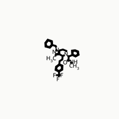 CNC(=O)C(c1ccccc1)N1CCc2c(c(C)nn2Cc2ccccc2)C1CCc1ccc(C(F)(F)F)cc1